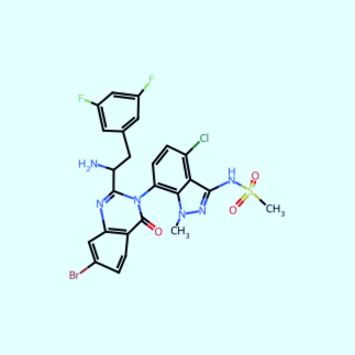 Cn1nc(NS(C)(=O)=O)c2c(Cl)ccc(-n3c(C(N)Cc4cc(F)cc(F)c4)nc4cc(Br)ccc4c3=O)c21